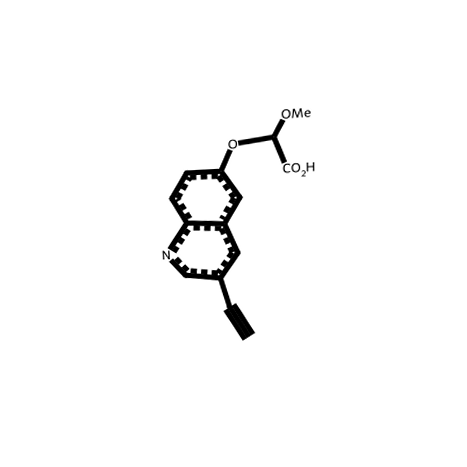 C#Cc1cnc2ccc(OC(OC)C(=O)O)cc2c1